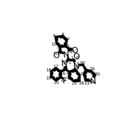 O=C1C(N2C(=O)c3ccccc3C2=O)N=C(c2ccccc2F)c2ccccc2N1Cc1ccncc1